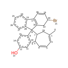 CC1=CC=CC(C)C(C2(c3ccc(O)cc3)C3=C(C=CC(Br)C3)c3ccccc32)C1